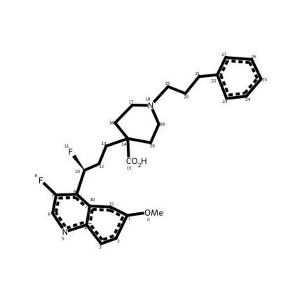 COc1ccc2ncc(F)c([C@@H](F)CCC3(C(=O)O)CCN(CCCc4ccccc4)CC3)c2c1